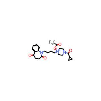 O=C1CCC(=O)N(CCCC[N+]2(OC(=O)C(F)(F)F)CCN(C(=O)C3CC3)CC2)c2ccccc21